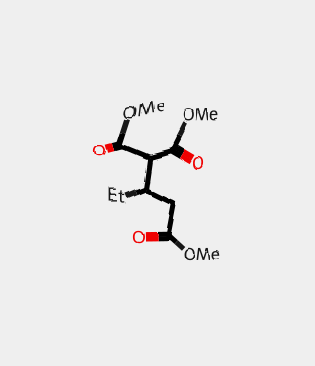 CCC(CC(=O)OC)C(C(=O)OC)C(=O)OC